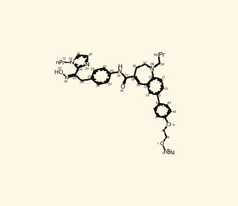 CCCCOCCOc1ccc(-c2ccc3c(c2)C=C(C(=O)Nc2ccc(C/C(=N/O)c4nccn4CCC)cc2)CCN3CC(C)C)cc1